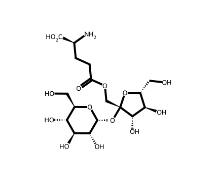 N[C@@H](CCC(=O)OC[C@@]1(O[C@H]2O[C@H](CO)[C@@H](O)[C@H](O)[C@H]2O)O[C@H](CO)[C@@H](O)[C@@H]1O)C(=O)O